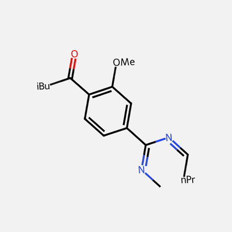 CCC/C=N\C(=N/C)c1ccc(C(=O)C(C)CC)c(OC)c1